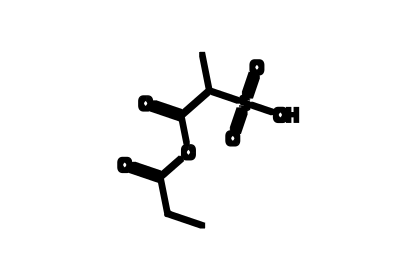 CCC(=O)OC(=O)C(C)S(=O)(=O)O